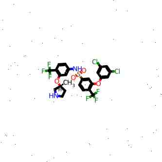 C[C@@]1(Oc2cc(NS(=O)(=O)c3ccc(C(F)(F)F)c(Oc4cc(Cl)cc(Cl)c4)c3)ccc2C(F)(F)F)CCNC1